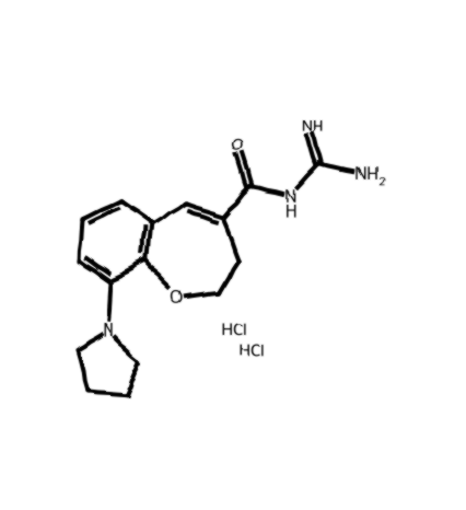 Cl.Cl.N=C(N)NC(=O)C1=Cc2cccc(N3CCCC3)c2OCC1